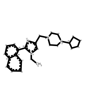 CCn1cc(CN2CCN(C3CCCC3)CC2)nc1-c1cccc2ccccc12